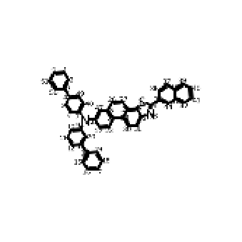 c1ccc(-c2ccc(N(c3cccc(-c4ccccc4)c3)c3ccc4c(ccc5c4ccc4nc(-c6ccc7ccccc7c6)sc45)c3)cc2)cc1